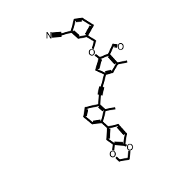 Cc1cc(C#Cc2cccc(-c3ccc4c(c3)OCCO4)c2C)cc(OCc2cccc(C#N)c2)c1C=O